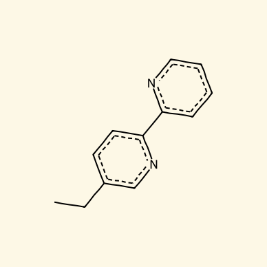 CCc1ccc(-c2ccccn2)nc1